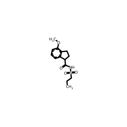 CCCS(=O)(=O)NC(=O)C1CCc2c(OC)cccc21